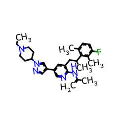 C=C(C)Nc1ncc(-c2cnn(C3CCN(CC)CC3)c2)cc1CC(C)c1c(C)ccc(F)c1C